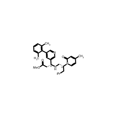 COC(=O)C[C@@H](NC[C@@H](CC(C)C)n1ccc(C)cc1=O)c1cncc(-c2c(C)cccc2C)c1